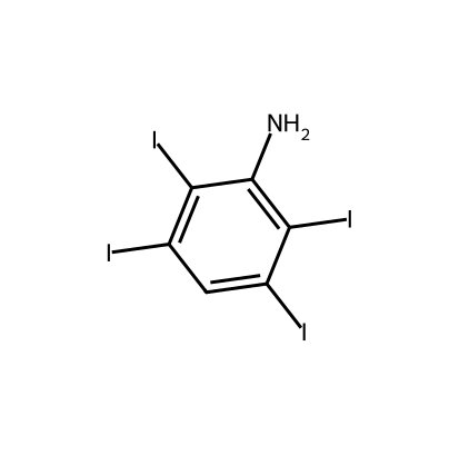 Nc1c(I)c(I)cc(I)c1I